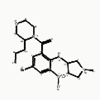 C=C(c1cc(Br)cc([N+](=O)[O-])c1NC1CCN(C)C1)N1CCOCC1CCC